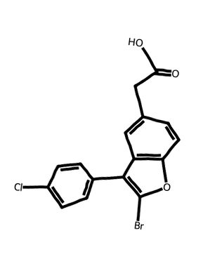 O=C(O)Cc1ccc2oc(Br)c(-c3ccc(Cl)cc3)c2c1